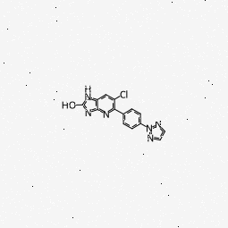 Oc1nc2nc(-c3ccc(-n4nccn4)cc3)c(Cl)cc2[nH]1